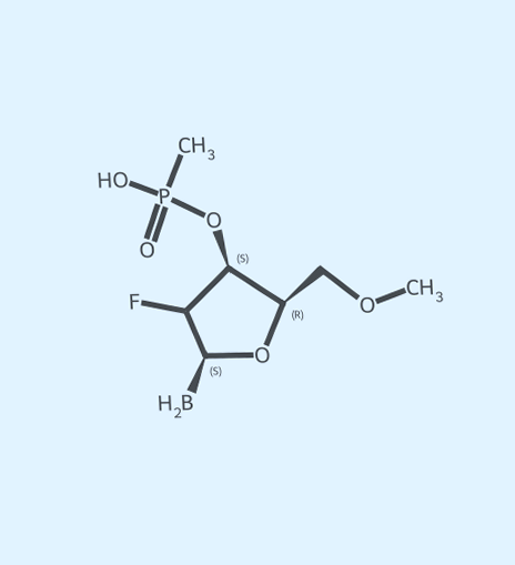 B[C@@H]1O[C@H](COC)[C@H](OP(C)(=O)O)C1F